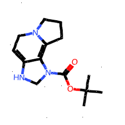 CC(C)(C)OC(=O)N1CNC2=CCN3CCCC3=C21